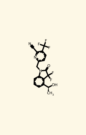 C[C@H](O)c1cccc2c1C(F)(F)C(=O)N2Cc1ccc(C(F)(F)F)c(C#N)n1